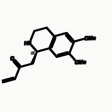 C=CC(=O)C[C@H]1NCCc2cc(OC)c(OC)cc21